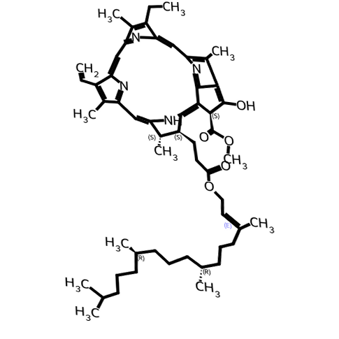 C=CC1=C(C)C2=NC1=CC1=NC(=CC3=C(C)C4=C(O)[C@@H](C(=O)OC)C(=C5NC(=C2)[C@@H](C)[C@@H]5CCC(=O)OC/C=C(\C)CCC[C@H](C)CCC[C@H](C)CCCC(C)C)C4=N3)C(CC)=C1C